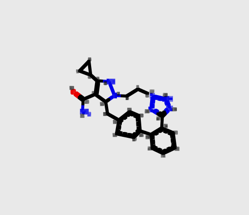 CCCN1NC(C2CC2)=C(C(N)=O)C1Cc1ccc(-c2ccccc2-c2nn[nH]n2)cc1